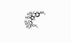 C=C1N=C(N)C=CN1[C@@H]1O[C@H](C(C)CP(=C)(C)C)[C@@H](O)[C@H]1C